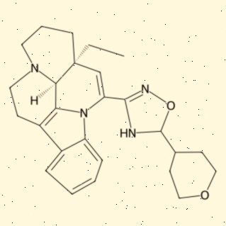 CC[C@@]12C=C(C3=NOC(C4CCOCC4)N3)n3c4c(c5ccccc53)CCN(CCC1)[C@H]42